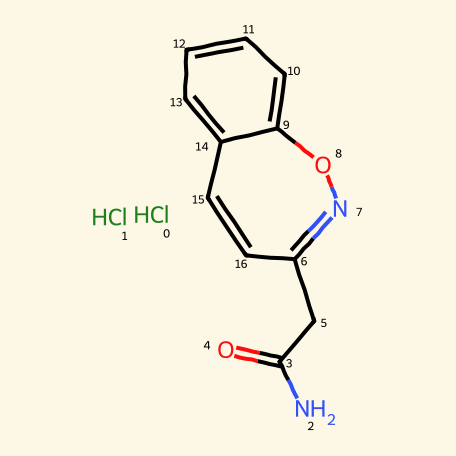 Cl.Cl.NC(=O)CC1=NOc2ccccc2C=C1